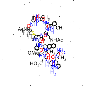 COc1ccc(C[C@H](NC(=O)[C@H]2NC(=O)[C@H](CCCCNC(C)=O)NC(=O)[C@H](Cc3c[nH]c4c(C)cccc34)NC(=O)[C@H]([C@@H](C)O)NC(=O)[C@H](CC(C)C)NC(=O)[C@@H](NC(C)=O)C(C)(C)SSC2(C)C)C(=O)N[C@@H](Cc2ccc3ccccc3c2)C(=O)N[C@@](C)(CC(C)C)C(=O)N[C@@H](CCC(=O)O)C(=O)N[C@@H](CC(N)=O)C(=O)N[C@@H](Cc2cccnc2)C(=O)N(C)CC(N)=O)cc1